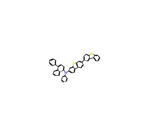 c1ccc(-c2ccc(N(c3ccccc3)c3ccc4c(c3)sc3cc(-c5ccc6sc7ccccc7c6c5)ccc34)c3ccccc23)cc1